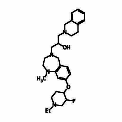 CCN1CCC(Oc2ccc3c(c2)N(C)CCN(CC(O)CN2CCc4ccccc4C2)C3)C(F)C1